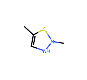 CC1=CNN(C)S1